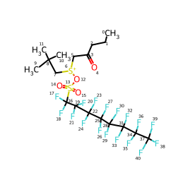 CCCC(=O)C[S+](CC(C)(C)C)OS(=O)(=O)C(F)(F)C(F)(F)C(F)(F)C(F)(F)C(F)(F)C(F)(F)C(F)(F)C(F)(F)F